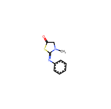 CN1CC(=O)S/C1=N/c1ccccc1